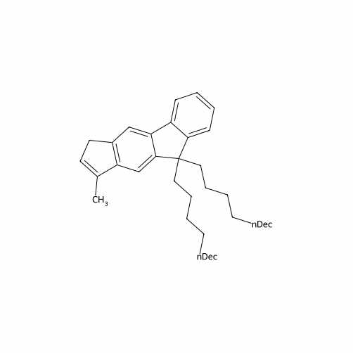 CCCCCCCCCCCCCCC1(CCCCCCCCCCCCCC)c2ccccc2-c2cc3c(cc21)C(C)=CC3